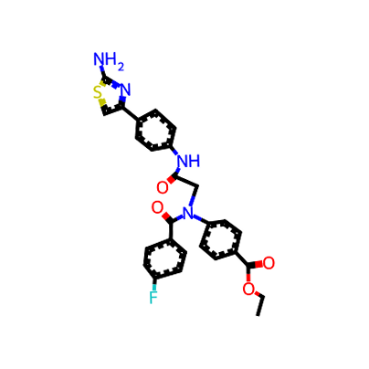 CCOC(=O)c1ccc(N(CC(=O)Nc2ccc(-c3csc(N)n3)cc2)C(=O)c2ccc(F)cc2)cc1